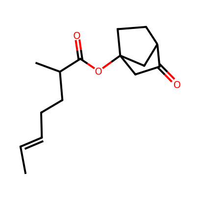 CC=CCCC(C)C(=O)OC12CCC(C1)C(=O)C2